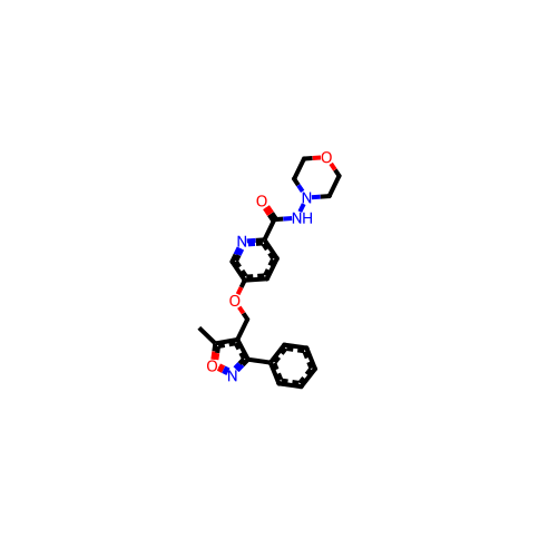 Cc1onc(-c2ccccc2)c1COc1ccc(C(=O)NN2CCOCC2)nc1